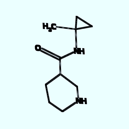 CC1(NC(=O)C2CCCNC2)CC1